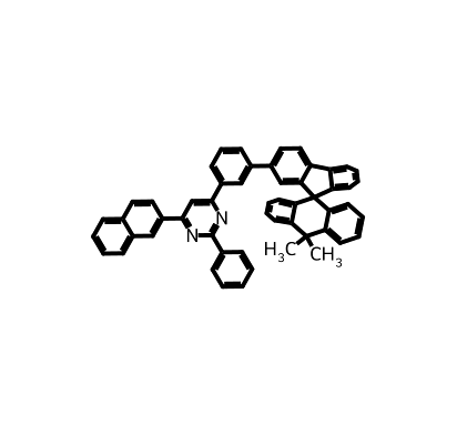 CC1(C)c2ccccc2C2(c3ccccc3-c3ccc(-c4cccc(-c5cc(-c6ccc7ccccc7c6)nc(-c6ccccc6)n5)c4)cc32)c2ccccc21